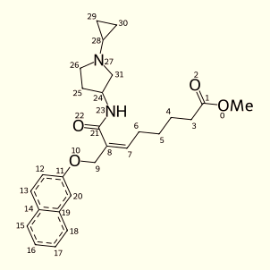 COC(=O)CCCCC=C(COc1ccc2ccccc2c1)C(=O)NC1CCN(C2CC2)C1